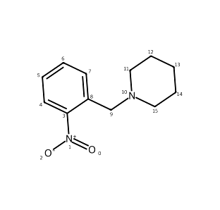 O=[N+]([O-])c1ccccc1CN1CCCCC1